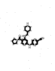 N#Cc1cnc(Nc2cc(NCC3CCNCC3)c(C(=O)N3CCCC3)cn2)cn1